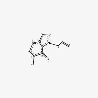 C=CCn1ccc2ncn(C)c(=O)c21